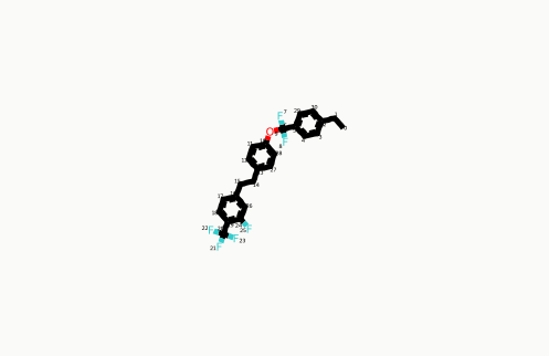 CCc1ccc(C(F)(F)Oc2ccc(CCc3ccc(C(F)(F)F)c(F)c3)cc2)cc1